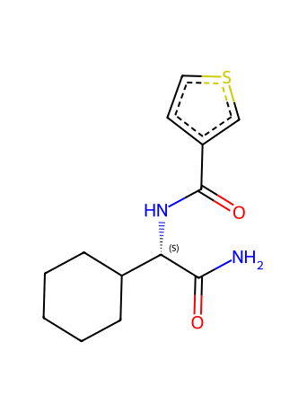 NC(=O)[C@@H](NC(=O)c1ccsc1)C1CCCCC1